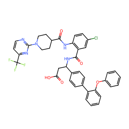 O=C(O)CC(NC(=O)c1cc(Cl)ccc1NC(=O)C1CCN(c2nccc(C(F)(F)F)n2)CC1)c1ccc(-c2ccccc2Oc2ccccc2)cc1